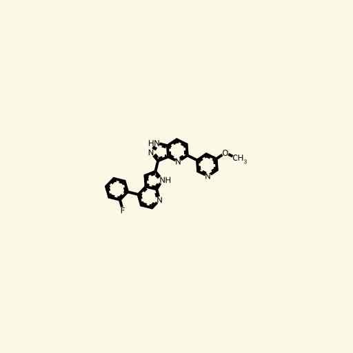 COc1cncc(-c2ccc3[nH]nc(-c4cc5c(-c6ccccc6F)ccnc5[nH]4)c3n2)c1